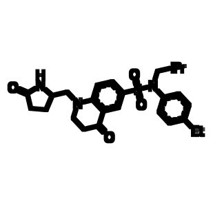 CCc1ccc(N(CC(C)C)S(=O)(=O)c2ccc3c(c2)C(=O)CCN3CC2CCC(=O)N2)cc1